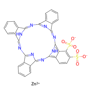 O=S(=O)([O-])c1ccc2c3nc4nc(nc5[nH]c(nc6nc(nc([nH]3)c2c1S(=O)(=O)[O-])-c1ccccc1-6)c1ccccc51)-c1ccccc1-4.[Zn+2]